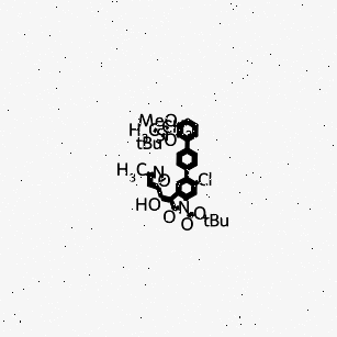 COc1cccc(-c2ccc(-c3cc4c(cc3Cl)N(C(=O)OC(C)(C)C)C(=O)C4=C(O)c3cc(C)no3)cc2)c1O[Si](C)(C)C(C)(C)C